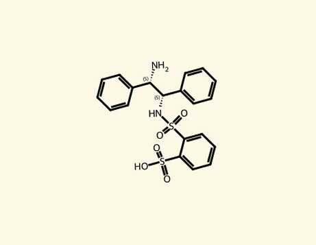 N[C@@H](c1ccccc1)[C@@H](NS(=O)(=O)c1ccccc1S(=O)(=O)O)c1ccccc1